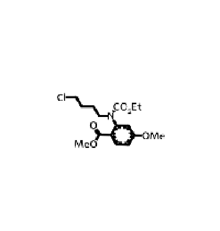 CCOC(=O)N(CCCCCl)c1cc(OC)ccc1C(=O)OC